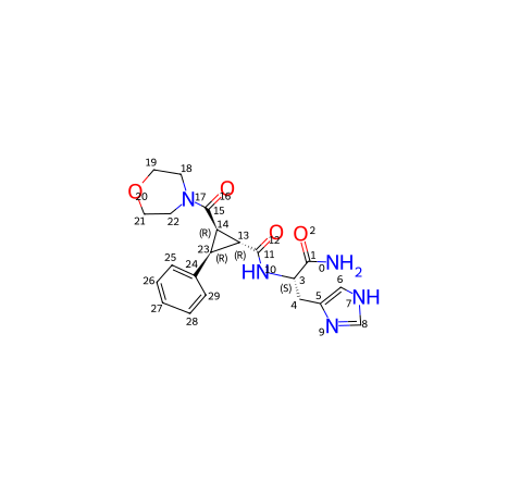 NC(=O)[C@H](Cc1c[nH]cn1)NC(=O)[C@H]1[C@H](C(=O)N2CCOCC2)[C@@H]1c1ccccc1